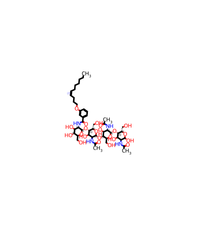 CCCCCC/C=C\CCCOc1cccc(C(=O)N[C@H]2C(O)[C@H](O)C(CO)O[C@H]2O[C@H]2C(O)C(NC(C)=O)[C@H](O[C@@H]3C(CO)O[C@@H](O[C@H]4C(O)C(NC(C)=O)C(O)O[C@H]4CO)[C@@H](NC(C)=O)C3O)O[C@H]2CO)c1